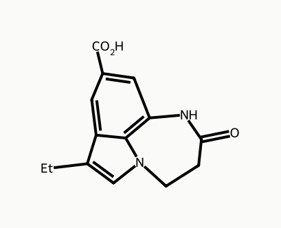 CCc1cn2c3c(cc(C(=O)O)cc13)NC(=O)CC2